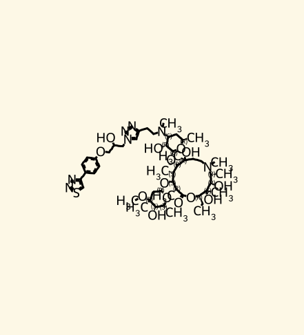 CC[C@H]1OC(=O)[C@H](C)[C@@H](O[C@H]2C[C@@](C)(OC)[C@@H](O)[C@H](C)O2)[C@H](C)[C@@H](O[C@@H]2O[C@H](C)C[C@H](N(C)CCc3cn(CC(O)COc4ccc(-c5csnn5)cc4)nn3)[C@H]2O)[C@](C)(O)CCN(C)[C@H](C)[C@@H](O)[C@]1(C)O